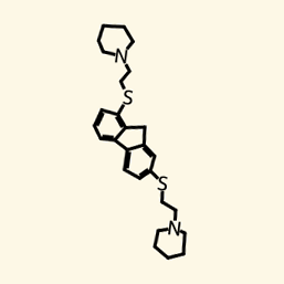 c1cc(SCCN2CCCCC2)c2c(c1)-c1ccc(SCCN3CCCCC3)cc1C2